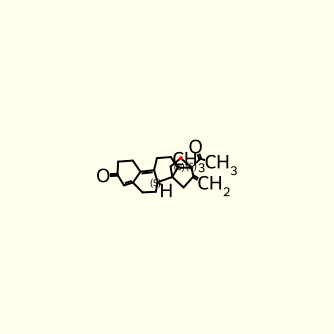 C=C1CC23CC[C@@]1(C(C)=O)[C@@]2(C)CCC1=C2CCC(=O)C=C2CC[C@H]13